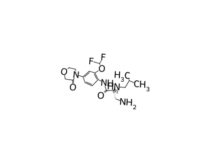 CC(C)CN[C@H](CN)C(=O)Nc1ccc(N2CCOCC2=O)cc1OC(F)F